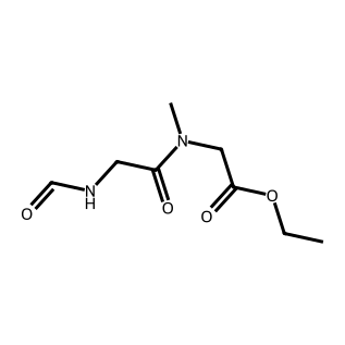 CCOC(=O)CN(C)C(=O)CNC=O